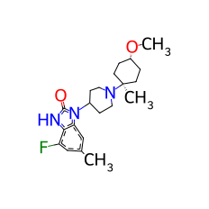 CO[C@H]1CC[C@](C)(N2CCC(n3c(=O)[nH]c4c(F)cc(C)cc43)CC2)CC1